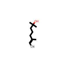 C/C(=C\C#N)CCCC(C)(C)O